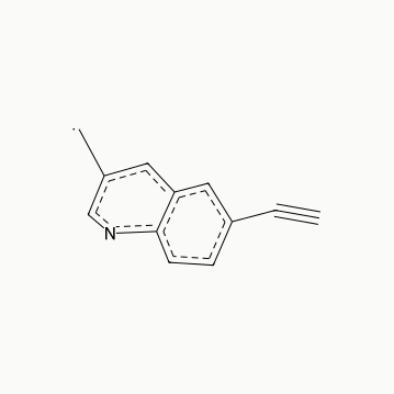 C#Cc1ccc2ncc([CH2])cc2c1